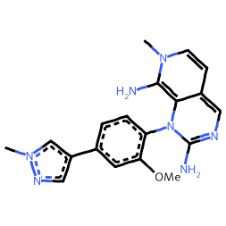 COc1cc(-c2cnn(C)c2)ccc1N1C(N)=NC=C2C=CN(C)C(N)=C21